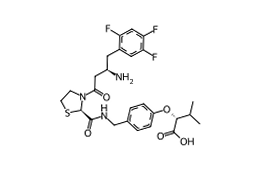 CC(C)[C@@H](Oc1ccc(CNC(=O)[C@H]2SCCN2C(=O)C[C@H](N)Cc2cc(F)c(F)cc2F)cc1)C(=O)O